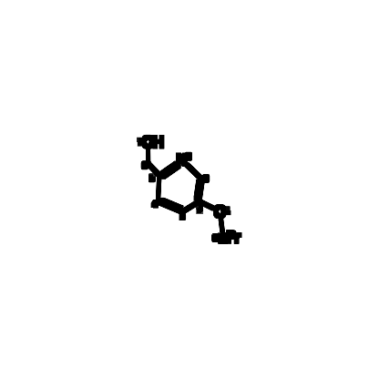 CCCOc1ccc(CO)nc1